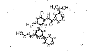 Cc1cc(F)c(NC(=O)N2CCOC(C(C)C)C2)cc1-c1cc(OCCO)nc(N2CCOCC2)c1